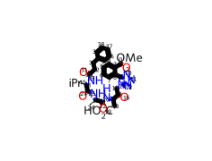 COC(=O)c1ccccc1-c1nnnn1CC(=O)C(CC(=O)O)NC(=O)[C@H](C)NC(=O)[C@@H](NC(=O)CCc1ccccc1)C(C)C